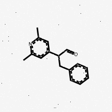 Cc1cc(C(C=O)Cc2ccccc2)cc(C)n1